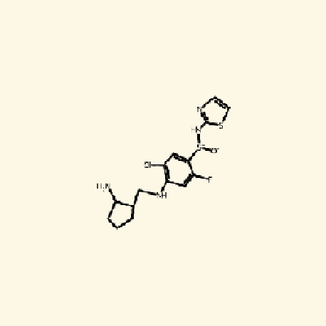 NC1CCCC1CNc1cc(F)c([S+]([O-])Nc2nccs2)cc1Cl